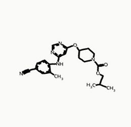 Cc1cc(C#N)ccc1Nc1cc(OC2CCN(C(=O)OCC(C)C)CC2)ncn1